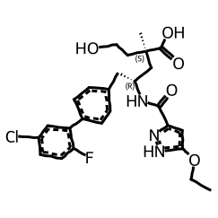 CCOc1cc(C(=O)N[C@H](Cc2ccc(-c3cc(Cl)ccc3F)cc2)C[C@@](C)(CCO)C(=O)O)n[nH]1